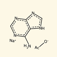 CC(=O)[O-].Nc1ncnc2nc[nH]c12.[Na+]